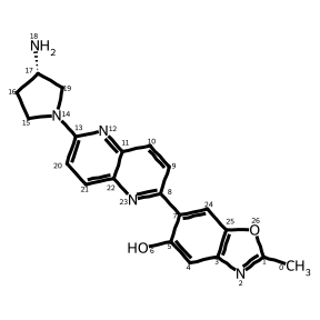 Cc1nc2cc(O)c(-c3ccc4nc(N5CC[C@H](N)C5)ccc4n3)cc2o1